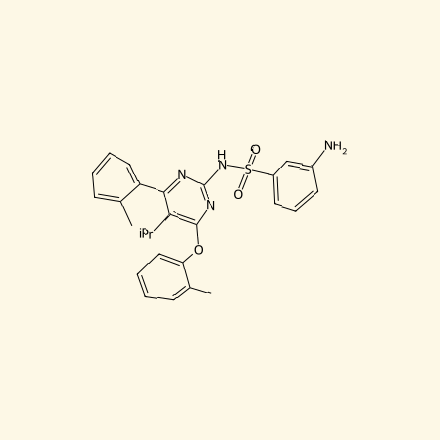 Cc1ccccc1Oc1nc(NS(=O)(=O)c2cccc(N)c2)nc(-c2ccccc2C)c1C(C)C